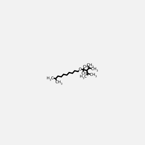 CC(C)CCCCCCCCOC(C)(C)C(C(C)C)C(C)C